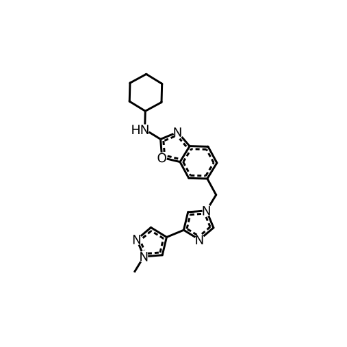 Cn1cc(-c2cn(Cc3ccc4nc(NC5CCCCC5)oc4c3)cn2)cn1